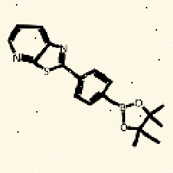 CC1(C)OB(c2ccc(-c3nc4cccnc4s3)cc2)OC1(C)C